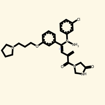 C=C(/C=C(/c1cccc(OCCCN2CCCC2)c1)N(N)c1cccc(Cl)c1)C(=O)N1CNC(=O)C1